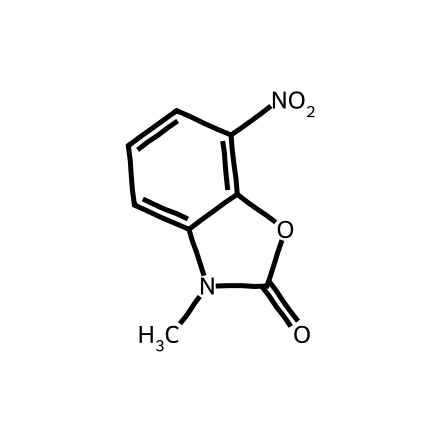 Cn1c(=O)oc2c([N+](=O)[O-])cccc21